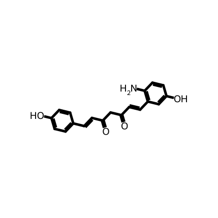 Nc1ccc(O)cc1C=CC(=O)CC(=O)C=Cc1ccc(O)cc1